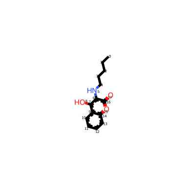 CCCCCNc1c(O)c2ccccc2oc1=O